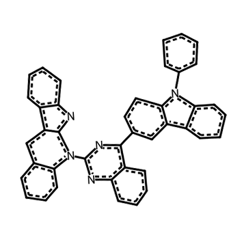 c1ccc(-n2c3ccccc3c3cc(-c4nc(-n5c6nc7ccccc7c-6cc6ccccc65)nc5ccccc45)ccc32)cc1